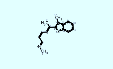 C/N=C/C=C\C=C(/C)c1sc2ccccc2c1C